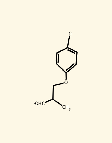 CC([C]=O)COc1ccc(Cl)cc1